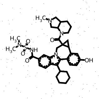 CN1CC2CCCN(C(=O)C34CC3c3cc(O)ccc3-c3c(C5CCCCC5)c5ccc(C(=O)NS(=O)(=O)N(C)C)cc5n3C4)C2C1